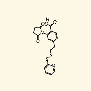 O=C(O)c1ccc(CCSSc2ccccn2)cc1N1C(=O)CCC1=O